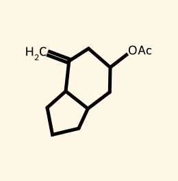 C=C1CC(OC(C)=O)CC2CCCC12